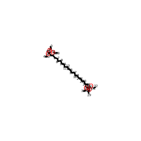 CCO[Si](CCCCCCCCCCCCCCCCCCCCCC[Si](OCC)(OCC)OCC)(OCC)OCC